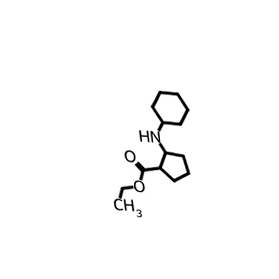 CCOC(=O)C1CCCC1NC1CCCCC1